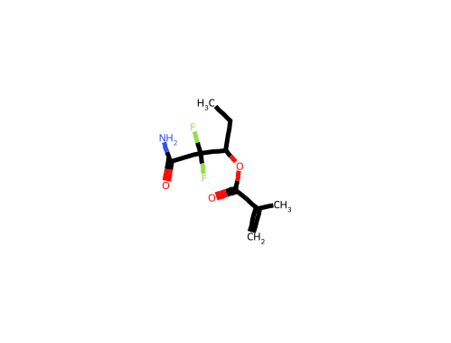 C=C(C)C(=O)OC(CC)C(F)(F)C(N)=O